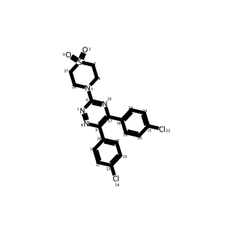 O=S1(=O)CCN(c2nnc(-c3ccc(Cl)cc3)c(-c3ccc(Cl)cc3)n2)CC1